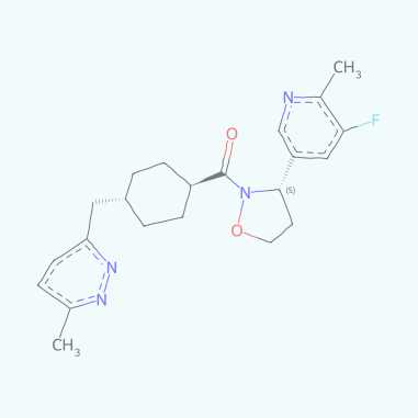 Cc1ccc(C[C@H]2CC[C@H](C(=O)N3OCC[C@H]3c3cnc(C)c(F)c3)CC2)nn1